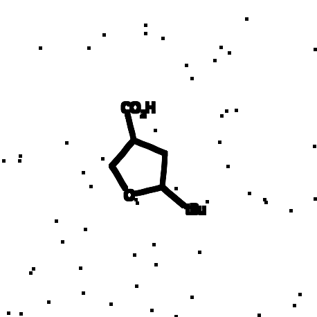 CC(C)(C)C1CC(C(=O)O)CO1